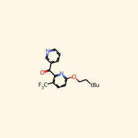 CC(C)(C)CCOc1ccc(C(F)(F)F)c(C(=O)c2cccnc2)n1